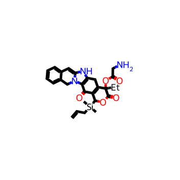 C=CC[Si](C)(C)C1OC(=O)C(CC)(OC(=O)CN)C2=C1C(=O)C1=C(C2)NC2=Cc3ccccc3CN21